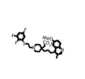 COc1ccc2ncc(C)c(CCCC3(CC(=O)O)CCN(CCSc4cc(F)cc(F)c4F)CC3)c2c1